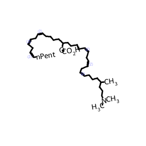 CCCCC/C=C\C/C=C\C/C=C\CCCCC(CCCC/C=C\C/C=C\C/C=C\CCCC(C)CCCN(C)C)OC(=O)O